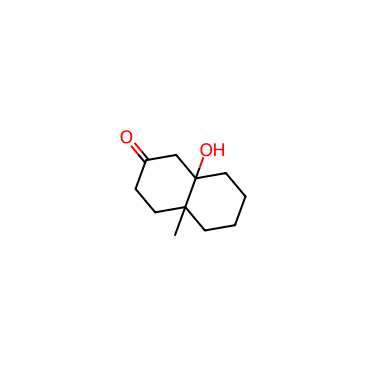 CC12CCCCC1(O)CC(=O)CC2